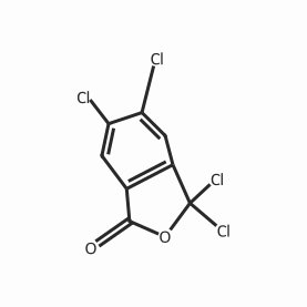 O=C1OC(Cl)(Cl)c2cc(Cl)c(Cl)cc21